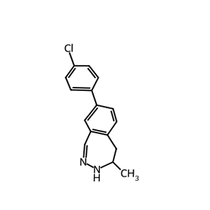 CC1Cc2ccc(-c3ccc(Cl)cc3)cc2C=NN1